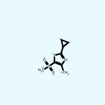 Cc1nc(C2CC2)sc1S(C)(=O)=O